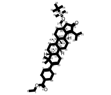 CCOC(=O)C1CC=C(C2=CC[C@]3(C)[C@H]4CC[C@@H]5C6=C(C(C)C)C(=O)C[C@]6(CO[Si](C)(C)C(C)(C)C)CC[C@@]5(C)[C@]4(C)CC[C@H]3C2(C)C)CC1